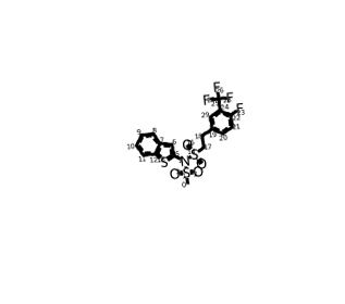 CS(=O)(=O)N(c1cc2ccccc2s1)S(=O)(=O)CCc1ccc(F)c(C(F)(F)F)c1